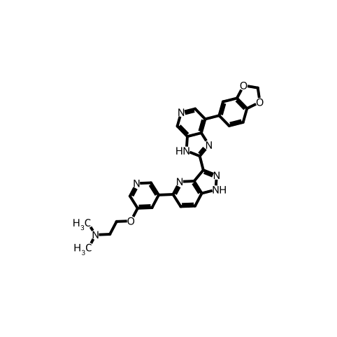 CN(C)CCOc1cncc(-c2ccc3[nH]nc(-c4nc5c(-c6ccc7c(c6)OCO7)cncc5[nH]4)c3n2)c1